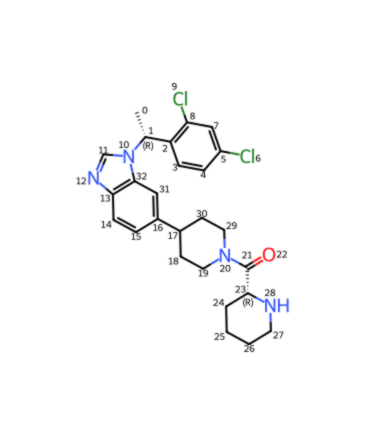 C[C@H](c1ccc(Cl)cc1Cl)n1cnc2ccc(C3CCN(C(=O)[C@H]4CCCCN4)CC3)cc21